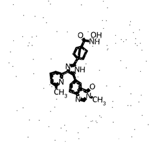 Cc1cccc(-c2nc(C34CCC(C(=O)NO)(CC3)CC4)[nH]c2-c2ccc3ncn(C)c(=O)c3c2)n1